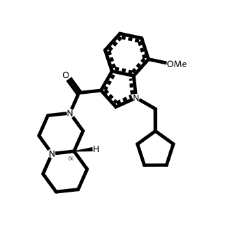 COc1cccc2c(C(=O)N3CCN4CCCC[C@H]4C3)cn(CC3CCCC3)c12